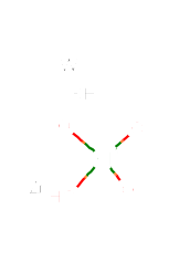 [KH].[O-][Cl+3]([O-])([O-])O.[W].[Zr]